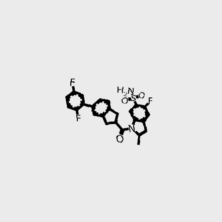 CC1Cc2cc(F)c(S(N)(=O)=O)cc2N1C(=O)C1Cc2ccc(-c3cc(F)ccc3F)cc2C1